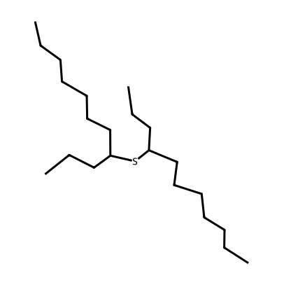 CCCCCCCC(CCC)SC(CCC)CCCCCCC